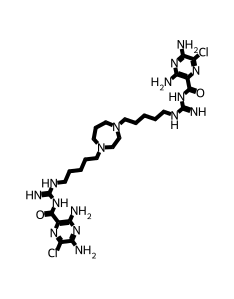 N=C(NCCCCCN1CCCN(CCCCCNC(=N)NC(=O)c2nc(Cl)c(N)nc2N)CC1)NC(=O)c1nc(Cl)c(N)nc1N